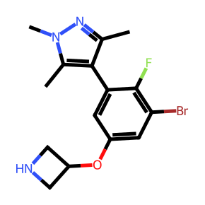 Cc1nn(C)c(C)c1-c1cc(OC2CNC2)cc(Br)c1F